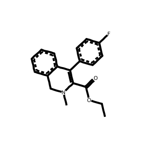 CCOC(=O)C1=C(c2ccc(F)cc2)c2ccccc2CN1C